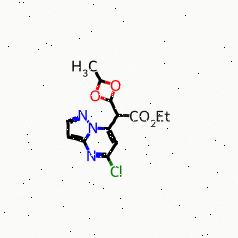 CCOC(=O)C(c1cc(Cl)nc2ccnn12)C1OC(C)O1